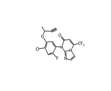 C#CC(C)Oc1cc(-n2c(=O)cc(C(F)(F)F)n3ccnc23)c(F)cc1Cl